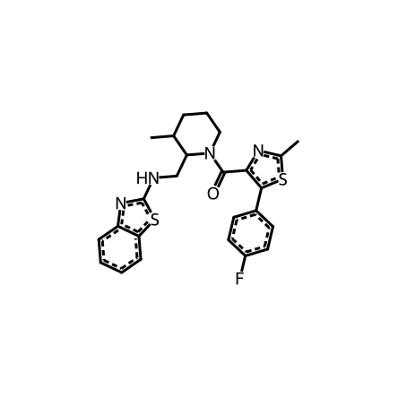 Cc1nc(C(=O)N2CCCC(C)C2CNc2nc3ccccc3s2)c(-c2ccc(F)cc2)s1